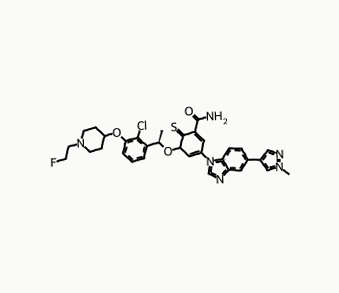 C[C@@H](OC1C=C(n2cnc3cc(-c4cnn(C)c4)ccc32)C=C(C(N)=O)C1=S)c1cccc(OC2CCN(CCF)CC2)c1Cl